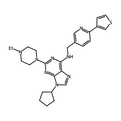 CCN1CCN(c2nc(NCc3ccc(-c4ccsc4)nc3)c3ncn(C4CCCC4)c3n2)CC1